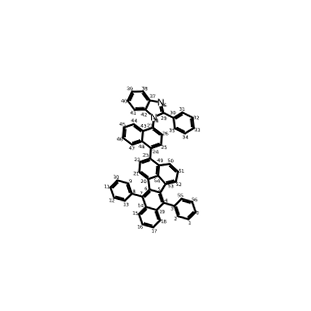 c1ccc(-c2c3c(c(-c4ccccc4)c4ccccc24)-c2ccc(-c4ccc(-n5c(-c6ccccc6)nc6ccccc65)c5ccccc45)c4cccc-3c24)cc1